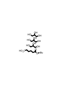 CCCCOC(=O)CCCCC(=O)O.OCC(O)CO.OCC(O)CO.OCC(O)CO